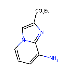 CCOC(=O)c1cn2cccc(N)c2n1